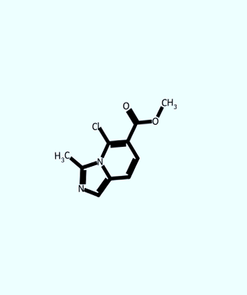 COC(=O)c1ccc2cnc(C)n2c1Cl